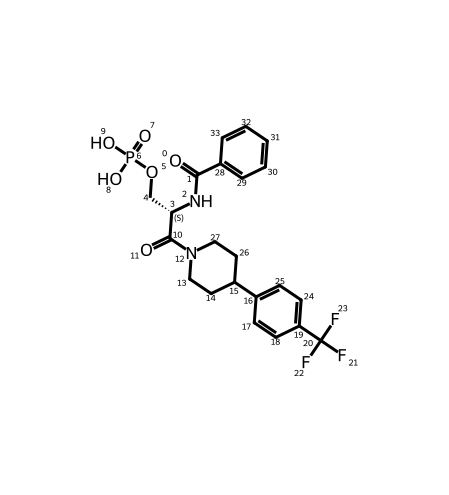 O=C(N[C@@H](COP(=O)(O)O)C(=O)N1CCC(c2ccc(C(F)(F)F)cc2)CC1)c1ccccc1